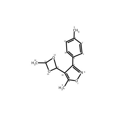 Cc1ccc(-c2noc(C)c2C2OC(C)O2)cc1